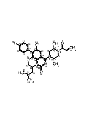 C=CC(=O)N1C[C@H](C)N(c2nc(=O)n3c4c(c(-c5ccc(F)cc5)c(Cl)cc24)OCC3CN(C)C)C[C@H]1C